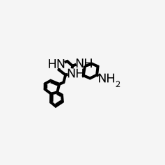 NC1CCC(NC2CNCC(Cc3cccc4ccccc34)N2)CC1